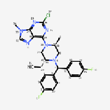 C[C@H]1CN(C(c2ccc(F)cc2)c2ccc(F)cc2)[C@H](CC#N)CN1c1nc(Cl)nc2c1ncn2C